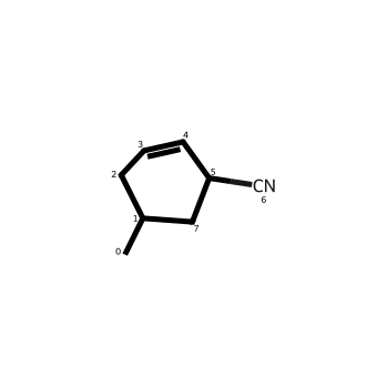 CC1CC=CC(C#N)C1